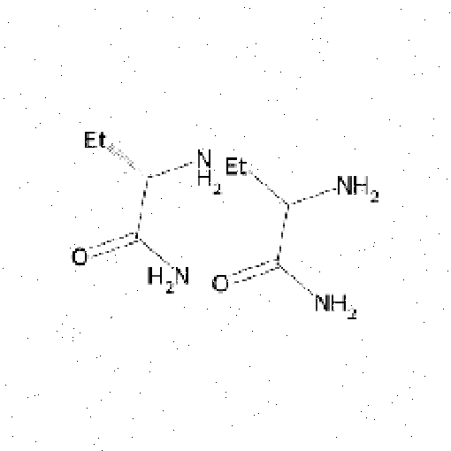 CCC(N)C(N)=O.CC[C@H](N)C(N)=O